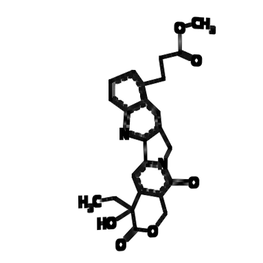 CCC1(O)C(=O)OCc2c1cc1n(c2=O)Cc2cc3c(CCC(=O)OC)cccc3nc2-1